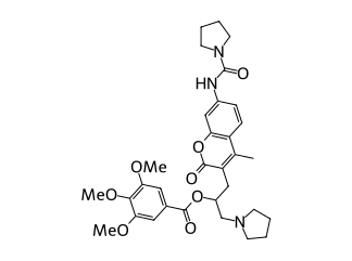 COc1cc(C(=O)OC(Cc2c(C)c3ccc(NC(=O)N4CCCC4)cc3oc2=O)CN2CCCC2)cc(OC)c1OC